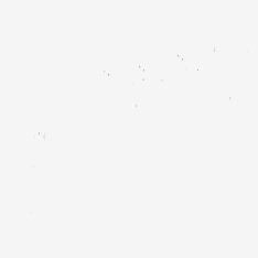 [O]C1(c2ncc(-c3ccc(NC(=O)Nc4ccccc4)nc3)s2)CCCC1